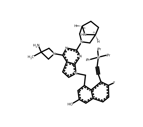 CC(C)[Si](C#Cc1c(F)ccc2cc(O)cc(Cn3ccc4c(N5CC(C)(N)C5)nc(N5C[C@H]6CC[C@@H](C5)N6)nc43)c12)(C(C)C)C(C)C